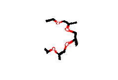 C=COCC(C)OCC(C)OCC(C)OC=C